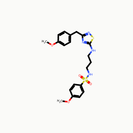 COc1ccc(Cc2nsc(NCCCNS(=O)(=O)c3ccc(OC)cc3)n2)cc1